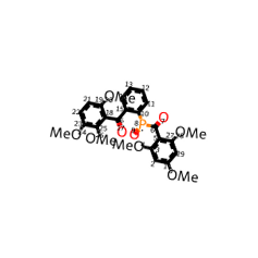 COc1cc(OC)c(C(=O)[P](=O)c2ccccc2C(=O)c2c(OC)ccc(OC)c2OC)c(OC)c1